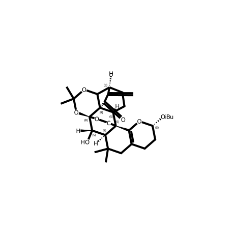 C=C1C(=O)[C@@]23C4OC(C)(C)O[C@]25OC[C@]2(C6=C(CC[C@@H](OCC(C)C)O6)CC(C)(C)[C@H]2[C@@H]5O)[C@@H]3CC[C@@H]14